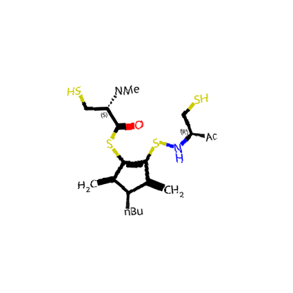 C=C1C(SN[C@@H](CS)C(C)=O)=C(SC(=O)[C@H](CS)NC)C(=C)C1CCCC